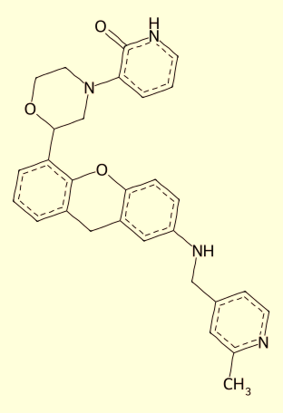 Cc1cc(CNc2ccc3c(c2)Cc2cccc(C4CN(c5ccc[nH]c5=O)CCO4)c2O3)ccn1